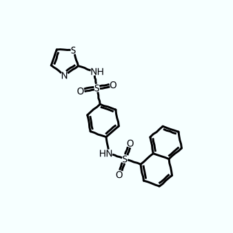 O=S(=O)(Nc1nccs1)c1ccc(NS(=O)(=O)c2cccc3ccccc23)cc1